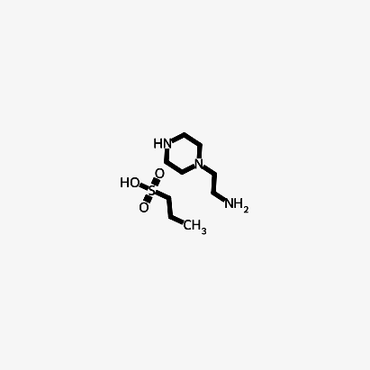 CCCS(=O)(=O)O.NCCN1CCNCC1